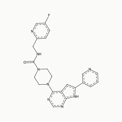 O=C(NCc1ccc(F)cn1)N1CCN(c2ncnc3[nH]c(-c4cccnc4)cc23)CC1